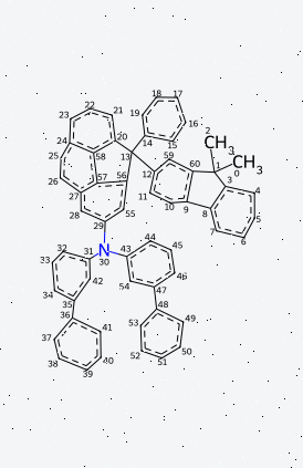 CC1(C)c2ccccc2-c2ccc(C3(c4ccccc4)c4cccc5ccc6cc(N(c7cccc(-c8ccccc8)c7)c7cccc(-c8ccccc8)c7)cc3c6c45)cc21